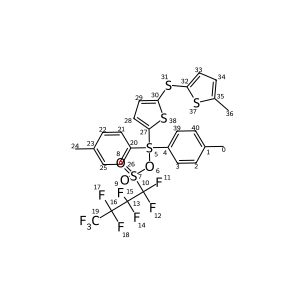 Cc1ccc(S(OS(=O)(=O)C(F)(F)C(F)(F)C(F)(F)C(F)(F)F)(c2ccc(C)cc2)c2ccc(Sc3ccc(C)s3)s2)cc1